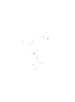 CC1COc2cc(C(=O)NO)ccc2CN1C(=O)C1CS(O)(O)C1